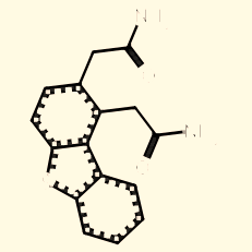 NC(=O)Cc1ccc2sc3ccccc3c2c1CC(N)=O